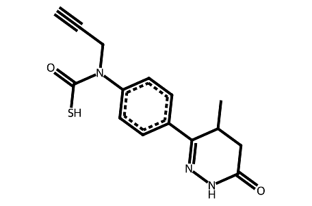 C#CCN(C(=O)S)c1ccc(C2=NNC(=O)CC2C)cc1